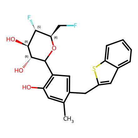 Cc1cc(O)c(C2O[C@H](CF)[C@@H](F)[C@H](O)[C@H]2O)cc1Cc1cc2ccccc2s1